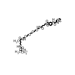 C[C@H](CCCNC(=O)OC(C)(C)C)C(=O)NCCOCCOCCOCCOCCNC(=O)CCCn1oc2ccc(NC(=O)c3cn4ccsc4n3)cc2c1=O